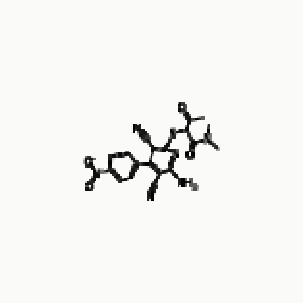 CC(=O)C(Sc1nc(N)c(C#N)c(-c2ccc([N+](=O)[O-])cc2)c1C#N)C(=O)N(C)C